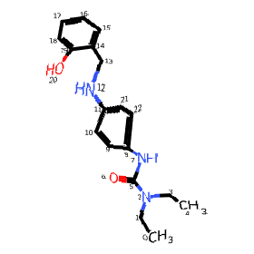 CCN(CC)C(=O)Nc1ccc(NCc2ccccc2O)cc1